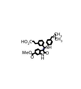 COC(=O)c1ccc2c(c1)NC(=O)/C2=C(\Nc1ccc(CN(C)C)cc1)c1cccc(CCC(=O)O)c1